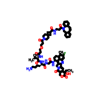 CC[C@@]1(O)C(=O)OCc2c1cc1n(c2=O)Cc2c-1nc1cc(F)c(C)c3c1c2[C@@H](NC(=O)CNC(=O)[C@H](CCCCN)NC(=O)[C@@H](NC(=O)CCOCCC(=O)N1CCC2(CC1)CC(C(=O)NCCC(=O)N1Cc4ccccc4C#Cc4ccccc41)C2)C(C)C)CC3